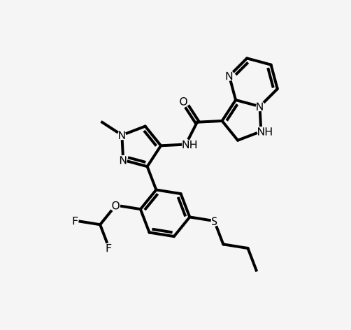 CCCSc1ccc(OC(F)F)c(-c2nn(C)cc2NC(=O)C2=C3N=CC=CN3NC2)c1